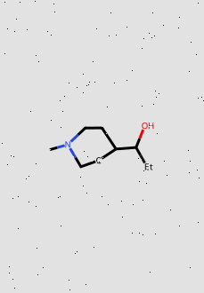 CCC(O)C1CCN(C)CC1